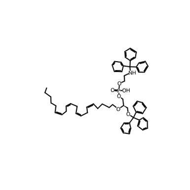 CCCCC/C=C\C/C=C\C/C=C\C/C=C\CCCCO[C@H](COC(c1ccccc1)(c1ccccc1)c1ccccc1)COP(=O)(O)OCCNC(c1ccccc1)(c1ccccc1)c1ccccc1